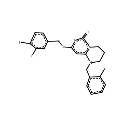 Cc1ccccc1CN1CCCn2c1cc(OCc1ccc(F)c(F)c1)nc2=O